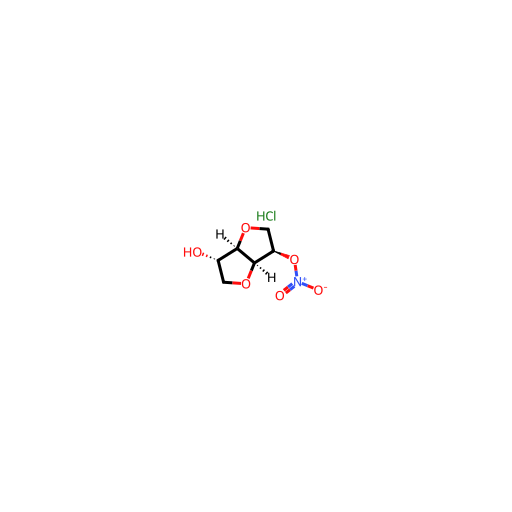 Cl.O=[N+]([O-])O[C@@H]1CO[C@H]2[C@@H]1OC[C@@H]2O